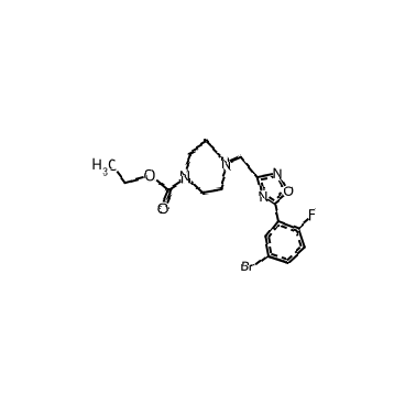 CCOC(=O)N1CCN(Cc2noc(-c3cc(Br)ccc3F)n2)CC1